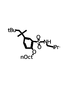 CCCCCCCCOc1ccc(C(C)(C)CC(C)(C)C)cc1S(=O)(=O)NC[C](C)C